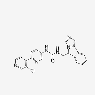 O=C(NCC1c2ccccc2-c2cncn21)Nc1ccc(-c2ccncc2Cl)nc1